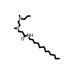 CCCCCCCCCCCCNC(=O)CCN(C)CCN(C)CCC